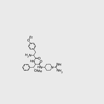 CCOc1ccc(CC(N)C(=O)N[C@@H](C(=O)NC2CCN(C(=N)N)CC2)[C@H](OC)c2ccccc2)cc1